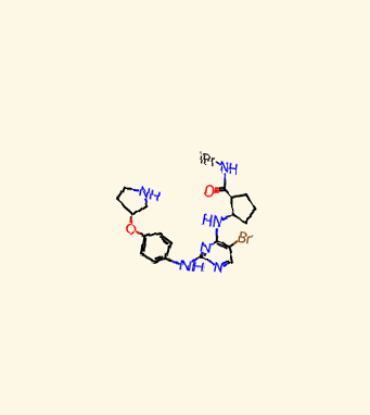 CC(C)NC(=O)[C@H]1CCC[C@H]1Nc1nc(Nc2ccc(O[C@H]3CCNC3)cc2)ncc1Br